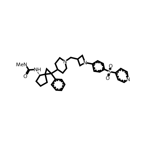 CNC(=O)N[C@H]1CCCC12CC2(c1ccccc1)C1CCN(CC2CN(c3ccc(S(=O)(=O)c4ccncc4)cc3)C2)CC1